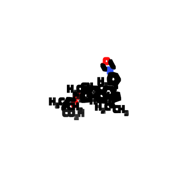 C=C(C)[C@@H]1CC[C@]2(Cc3ccc(N4CCOCC4)cc3)CC[C@]3(C)[C@H](CC[C@@H]4[C@@]5(C)CC[C@H](OC(=O)CC(C)(C)CC(=O)O)C(C)(C)[C@@H]5CC[C@]43C)[C@@H]12